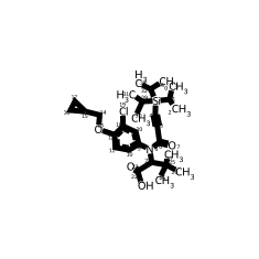 CC(C)[Si](C#CC(=O)N(c1ccc(OCC2CC2)c(Cl)c1)C(C(=O)O)C(C)(C)C)(C(C)C)C(C)C